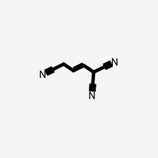 N#CCC=CC(C#N)C#N